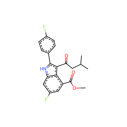 COC(=O)c1cc(F)cc2[nH]c(-c3ccc(F)cc3)c(C(=O)CC(C)C)c12